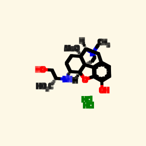 CO[C@@]12CC[C@@H](N[C@@H](CO)C(=O)O)[C@@H]3Oc4c(O)ccc5c4[C@@]31CCN(C)[C@@H]2C5.Cl.Cl